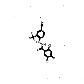 N#Cc1ccc(NNC(=O)c2cc(Cl)c(F)cc2Cl)c(C(F)(F)F)c1